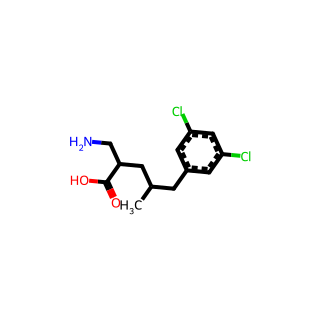 CC(Cc1cc(Cl)cc(Cl)c1)CC(CN)C(=O)O